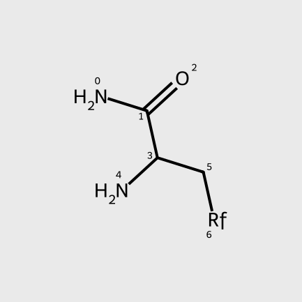 NC(=O)C(N)[CH2][Rf]